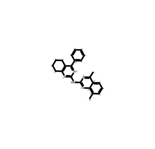 Cc1nc(Nc2nc3c(c(-c4ccccc4)n2)CCCC3)nc2c(C)cccc12